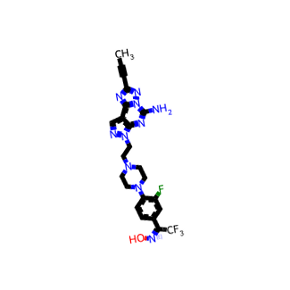 CC#Cc1nc2c3cnn(CCN4CCN(c5ccc(/C(=N\O)C(F)(F)F)cc5F)CC4)c3nc(N)n2n1